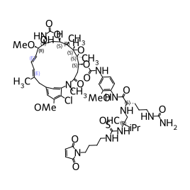 COc1cc(NC(=O)O[C@H]2CC(=O)N(C)c3cc(cc(OC)c3Cl)C/C(C)=C/C=C/[C@@H](OC)[C@@]3(O)C[C@H](OC(=O)N3)[C@@H](C)[C@@H]3O[C@@]23C)ccc1NC(=O)[C@H](CCCNC(N)=O)NC[C@](C=O)(NC(=S)NCCCCN1C(=O)C=CC1=O)C(C)C